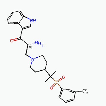 CC(C)(C1CCN(C[C@@H](N)C(=O)c2c[nH]c3ccccc23)CC1)S(=O)(=O)c1cccc(C(F)(F)F)c1